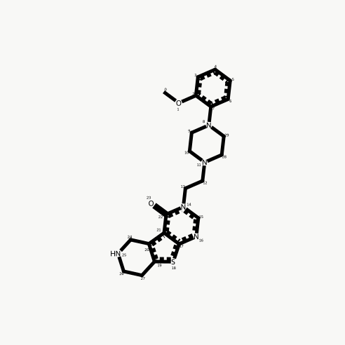 COc1ccccc1N1CCN(CCn2cnc3sc4c(c3c2=O)CNCC4)CC1